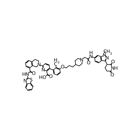 Cc1c(OCCCC2CCN(CC(=O)Nc3ccc4c(C5CCC(=O)NC5=O)nn(C)c4c3)CC2)cccc1-c1ccc(N2CCc3cccc(C(=O)Nc4nc5ccccc5s4)c3C2)nc1C(=O)O